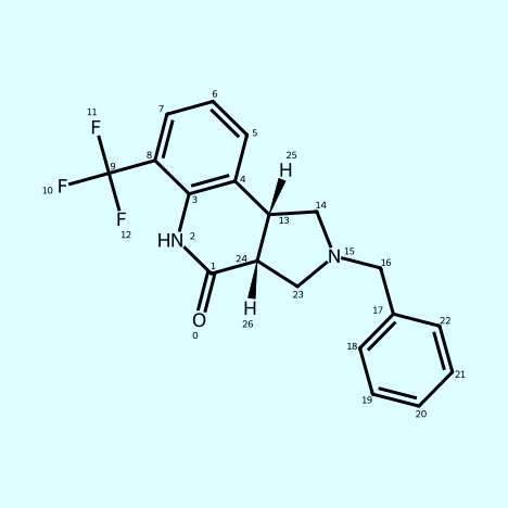 O=C1Nc2c(cccc2C(F)(F)F)[C@@H]2CN(Cc3ccccc3)C[C@H]12